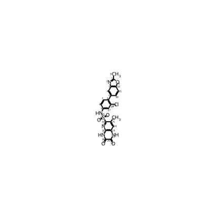 Cc1nc2cc(-c3ccc(NS(=O)(=O)c4nc5[nH]c(=O)c(=O)[nH]c5cc4C)cc3Cl)ccc2o1